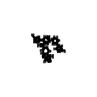 Cn1cc(-c2cccc(-c3ncc(-c4cnn(C)c4)c(NC4CCC(NS(C)(=O)=O)CC4)n3)c2)cn1